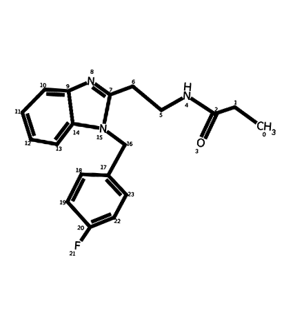 CCC(=O)NCCc1nc2ccccc2n1Cc1ccc(F)cc1